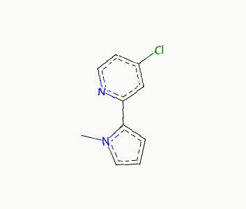 Cn1cccc1-c1cc(Cl)ccn1